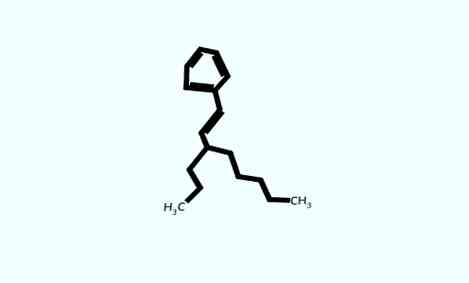 CCCCCC(C=Cc1ccccc1)CCC